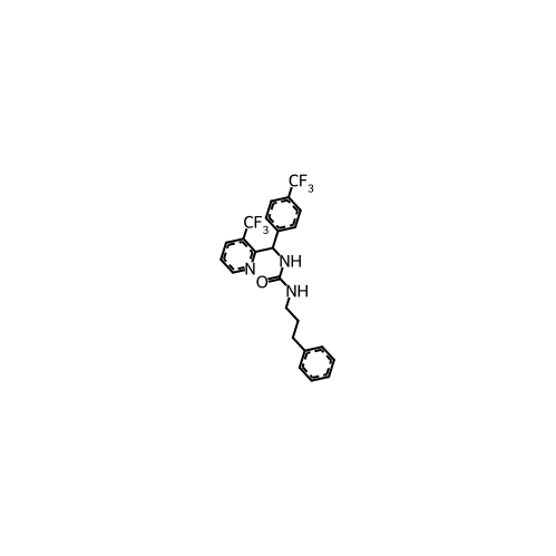 O=C(NCCCc1ccccc1)NC(c1ccc(C(F)(F)F)cc1)c1ncccc1C(F)(F)F